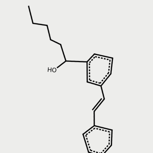 CCCCCC(O)c1cccc(C=Cc2ccccc2)c1